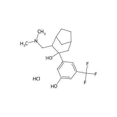 CN(C)CC1C2CCC(C2)CC1(O)c1cc(O)cc(C(F)(F)F)c1.Cl